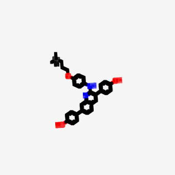 [CH3][SnH]([CH3])[CH2]CCOc1ccc(Nc2nc3cc(-c4ccc(O)cc4)ccc3cc2-c2ccc(O)cc2)cc1